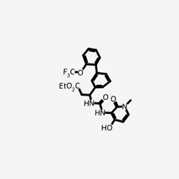 CCOC(=O)CC(NC(=O)Nc1c(O)ccn(C)c1=O)c1cccc(-c2ccccc2OC(F)(F)F)c1